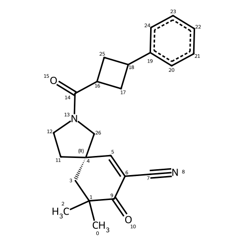 CC1(C)C[C@]2(C=C(C#N)C1=O)CCN(C(=O)C1CC(c3ccccc3)C1)C2